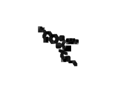 C=CCO/N=C\C(C)(C)NC(=O)C(Oc1ccc2ncc(Br)cc2c1)SC